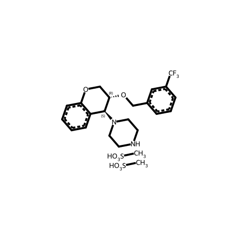 CS(=O)(=O)O.CS(=O)(=O)O.FC(F)(F)c1cccc(CO[C@H]2COc3ccccc3[C@@H]2N2CCNCC2)c1